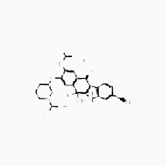 CC(C)Oc1cc2c(cc1OC1CCCN(C(C)C)C1)C(C)(C)c1[nH]c3cc(C#N)ccc3c1C2=O